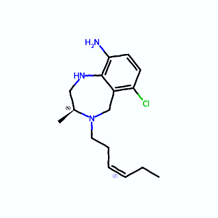 CC/C=C\CCN1Cc2c(Cl)ccc(N)c2NC[C@@H]1C